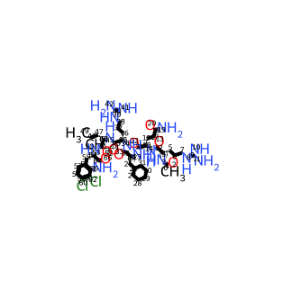 CC(=O)N[C@@H](CCCNC(=N)N)C(=O)N[C@@H](CCC(N)=O)C(=O)N[C@@H](CC1CCCCC1)C(=O)N[C@@H](CCCNC(=N)N)C(=O)N[C@@H](CC(C)C)C(=O)N[C@@H](Cc1ccc(Cl)c(Cl)c1)C(N)=O